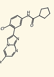 O=C(Nc1ccc(Cl)c(-c2cn3cc(Br)cnc3n2)c1)C1CCCC1